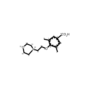 Cc1cc(C(=O)O)cc(C)c1OCCN1CCOCC1